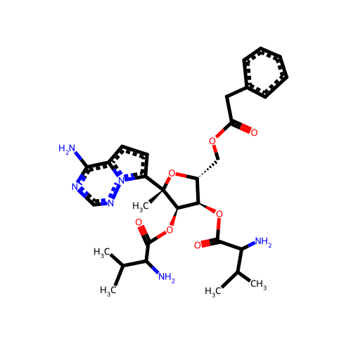 CC(C)C(N)C(=O)O[C@H]1[C@@H](OC(=O)C(N)C(C)C)[C@](C)(c2ccc3c(N)ncnn23)O[C@@H]1COC(=O)Cc1ccccc1